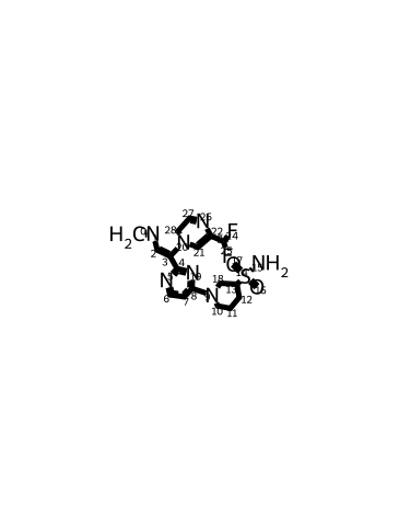 C=N/C=C(/c1nccc(N2CCCC(S(N)(=O)=O)C2)n1)N1C=C(C(F)F)N=CC1